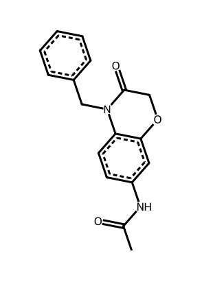 CC(=O)Nc1ccc2c(c1)OCC(=O)N2Cc1ccccc1